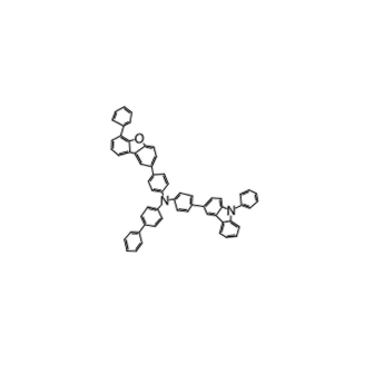 c1ccc(-c2ccc(N(c3ccc(-c4ccc5oc6c(-c7ccccc7)cccc6c5c4)cc3)c3ccc(-c4ccc5c(c4)c4ccccc4n5-c4ccccc4)cc3)cc2)cc1